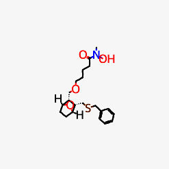 CN(O)C(=O)CCCCOC[C@@H]1[C@H](CSCc2ccccc2)[C@@H]2CC[C@H]1O2